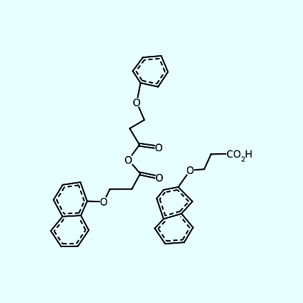 O=C(CCOc1ccccc1)OC(=O)CCOc1cccc2ccccc12.O=C(O)CCOc1ccc2ccccc2c1